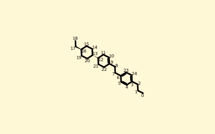 CCCc1ccc(CCC2=CCC([C@H]3CC[C@H](CC)CC3)CC2)cc1